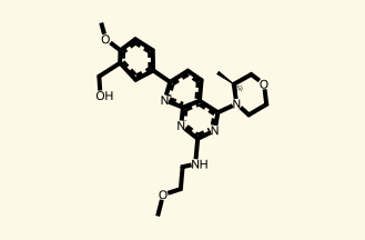 COCCNc1nc(N2CCOC[C@@H]2C)c2ccc(-c3ccc(OC)c(CO)c3)nc2n1